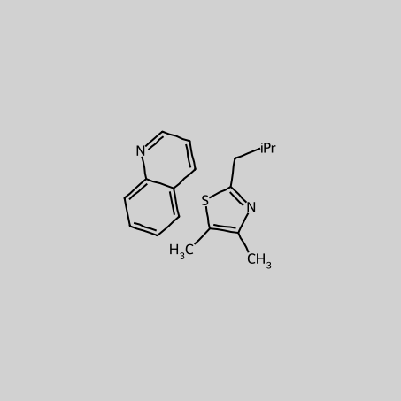 Cc1nc(CC(C)C)sc1C.c1ccc2ncccc2c1